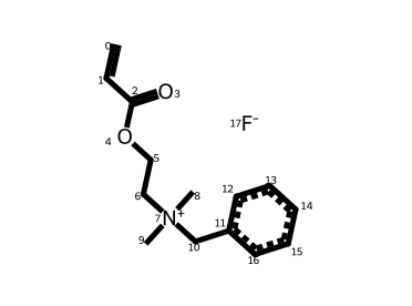 C=CC(=O)OCC[N+](C)(C)Cc1ccccc1.[F-]